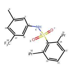 Cc1cc(NS(=O)(=O)c2c(C(C)C)cccc2C(C)C)cc(C(F)(F)F)c1